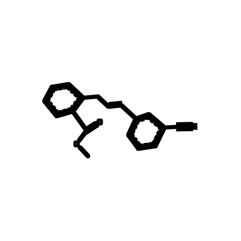 COC(=O)c1ccccc1CC=Cc1cccc(C#N)c1